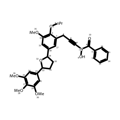 CCCOc1c(CC#CN(O)C(=O)c2ccccc2)cc(C2CCC(c3cc(OC)c(OC)c(OC)c3)O2)cc1OC